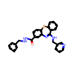 O=C(NNCc1ccccc1)c1ccc2c(c1)N=C(NCc1cccnc1)c1ccccc1S2